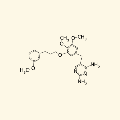 COc1cccc(CCCOc2cc(Cc3cnc(N)nc3N)cc(OC)c2OC)c1